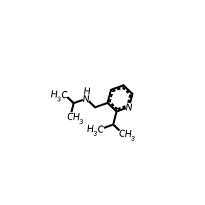 CC(C)NCc1cccnc1C(C)C